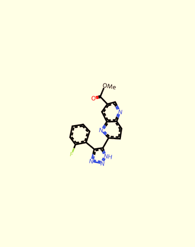 COC(=O)c1cnc2ccc(-c3[nH]nnc3-c3ccccc3F)nc2c1